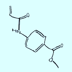 C=CC(=O)Nc1ccc(C(=O)OC)cc1